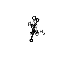 NC(=O)c1nn(CC(=O)N2C[C@H](F)C[C@H]2C(=O)NCc2cccc(Cl)c2F)c2cnc(C#Cc3ccccc3)cc12